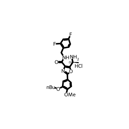 CCCCOc1cc(-c2nc(C(=O)NCc3ccc(F)cc3F)c([C@H](C)N)o2)ccc1OC.Cl